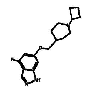 Fc1cc(OCC2CCN(C3CCC3)CC2)cc2[nH]ncc12